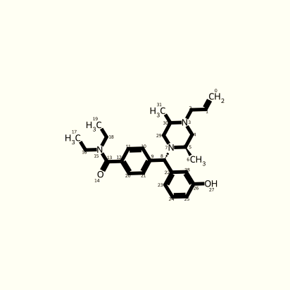 C=CCN1C[C@@H](C)N([C@@H](c2ccc(C(=O)N(CC)CC)cc2)c2cccc(O)c2)CC1C